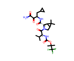 CC(C)[C@H](NC(=O)OC(C)(C)C(F)(F)F)C(=O)N1CC2C([C@H]1C(=O)NC(CC1CC1)C(=O)C(N)=O)C2(C)C